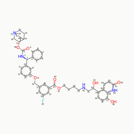 O=C(N[C@@H](c1ccccc1)c1cccc(OCc2cc(F)cc(C(=O)OCCCCNCC(O)c3ccc(O)c4[nH]c(=O)ccc34)c2)c1)OC1CN2CCC1CC2